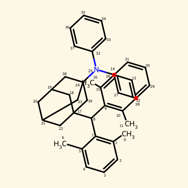 Cc1cccc(C)c1C(c1c(C)cccc1C)C12CC3CC(C1)CC(N(c1ccccc1)c1ccccc1)(C3)C2